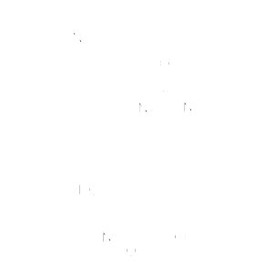 Cc1noc(C)c1-c1ccc2[nH]c(=O)n(Cc3cccnc3)c2c1